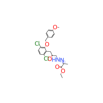 CCOC(=O)/C(C)=N\NCC(=O)Cc1c(Cl)ccc(Cl)c1OCc1ccc(OC)cc1